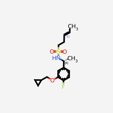 C/C=C/CCS(=O)(=O)N[C@H](C)c1ccc(F)c(OCC2CC2)c1